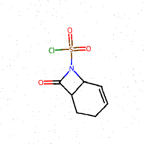 O=C1C2CCC=CC2N1S(=O)(=O)Cl